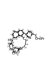 CCCOCc1ncc(-c2ccc3ncc4cc3c2CCCCNC(=O)[C@@H]2C[C@H](CCN2C)N4)cn1